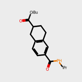 CC(C)COC(=O)C1CCc2cc(C(=O)PC(C)C)ccc2C1